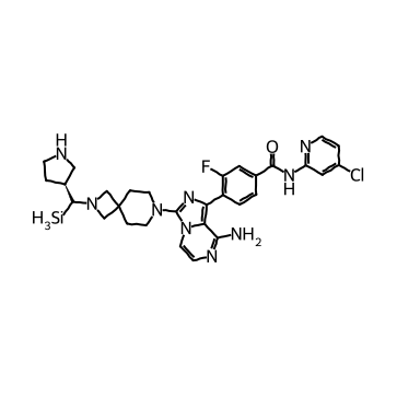 Nc1nccn2c(N3CCC4(CC3)CN(C([SiH3])[C@H]3CCNC3)C4)nc(-c3ccc(C(=O)Nc4cc(Cl)ccn4)cc3F)c12